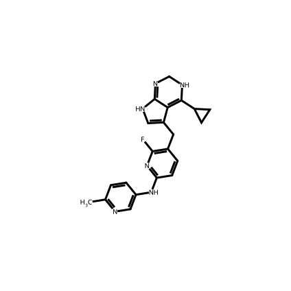 Cc1ccc(Nc2ccc(Cc3c[nH]c4c3=C(C3CC3)NCN=4)c(F)n2)cn1